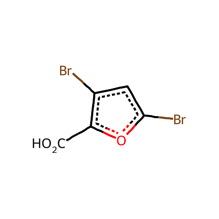 O=C(O)c1oc(Br)cc1Br